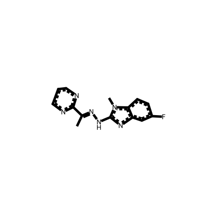 C/C(=N\Nc1nc2cc(F)ccc2n1C)c1ncccn1